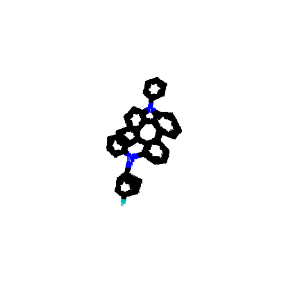 Fc1ccc(N(c2ccccc2)c2cccc3c2-c2cccc4ccc5c(c24)c2c-3cccc2n5-c2ccccc2)cc1